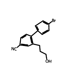 N#Cc1ccc(-c2ccc(Br)cc2)c(CCCO)c1